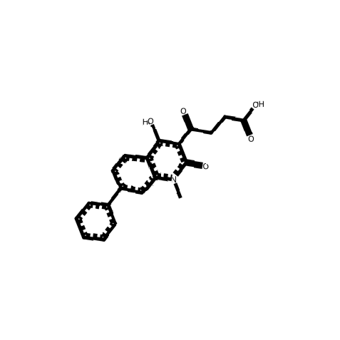 Cn1c(=O)c(C(=O)CCC(=O)O)c(O)c2ccc(-c3ccccc3)cc21